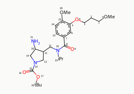 COCCCOc1cc(C(=O)N(CC2CN(C(=O)OC(C)(C)C)CC2N)C(C)C)ccc1OC